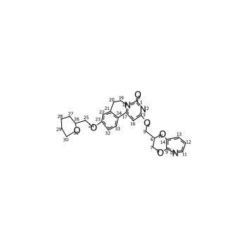 O=c1nc(OCC2COc3ncccc3O2)cc2n1CCc1cc(OCC3CCCCO3)ccc1-2